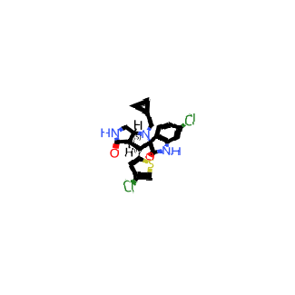 O=C1NC[C@@H]2[C@H]1[C@@H](c1cc(Cl)cs1)[C@]1(C(=O)Nc3cc(Cl)ccc31)N2CC1CC1